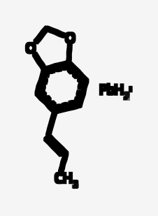 C/C=C/c1ccc2c(c1)OCO2.[PbH2]